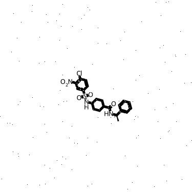 C[C@@H](NC(=O)C1CCC(NS(=O)(=O)c2ccc(Cl)c([N+](=O)[O-])c2)CC1)c1ccccc1